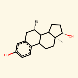 CC[C@H]1Cc2cc(O)ccc2C2CC[C@@]3(C)C(CC[C@@H]3O)C21